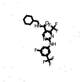 O=C(NCC1CCCCC1)c1cnc(Nc2cc(F)cc(C(F)(F)F)c2)nc1C(F)(F)F